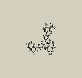 c1ccc2c(-c3ccc(N(c4ccc(-c5cccc6ccccc56)cc4)c4cccc5ccccc45)cc3)cccc2c1